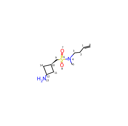 C=CCCN(C)S(=O)(=O)C[C@H]1C[C@@H](N)C1